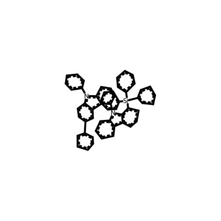 c1ccc(-c2ccc3c(c2)c2c(-n4c5ccccc5c5cccc([Si](c6ccccc6)(c6ccccc6)c6ccccc6)c54)cccc2n3-c2ccccc2)cc1